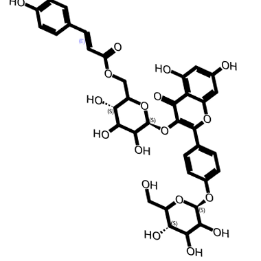 O=C(/C=C/c1ccc(O)cc1)OCC1O[C@@H](Oc2c(-c3ccc(O[C@@H]4OC(CO)[C@@H](O)C(O)C4O)cc3)oc3cc(O)cc(O)c3c2=O)C(O)C(O)[C@@H]1O